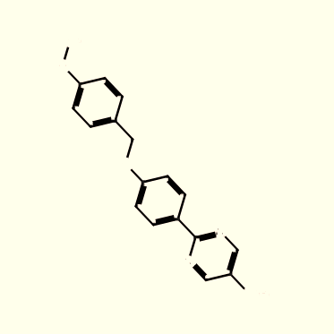 CCCCCc1cnc(-c2ccc(OCc3ccc(OCCCC)cc3)cc2)nc1